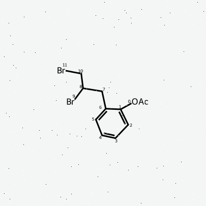 CC(=O)Oc1ccccc1CC(Br)CBr